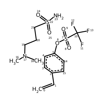 C=Cc1ccc(OS(=O)(=O)C(F)(F)F)cc1.CN(C)CCCS(N)(=O)=O